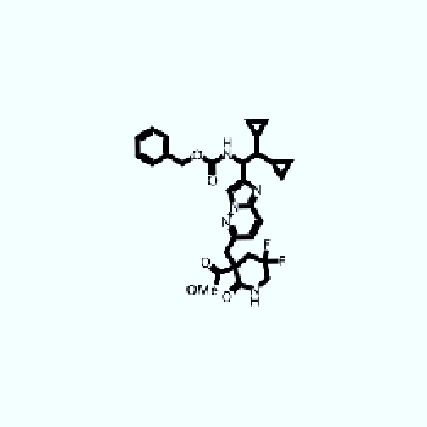 COC(=O)C1(Cc2ccc3nc(C(NC(=O)OCc4ccccc4)C(C4CC4)C4CC4)cn3n2)CC(F)(F)CNC1=O